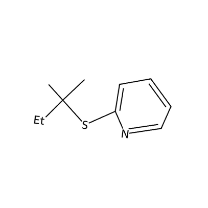 CCC(C)(C)Sc1ccccn1